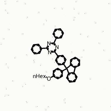 CCCCCCOc1ccc(C2(c3ccc(-c4nc(-c5ccccc5)nc(-c5ccccc5)n4)cc3)c3ccccc3-c3ccccc32)cc1